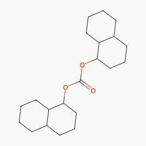 O=C(OC1CCCC2CCCCC21)OC1CCCC2CCCCC21